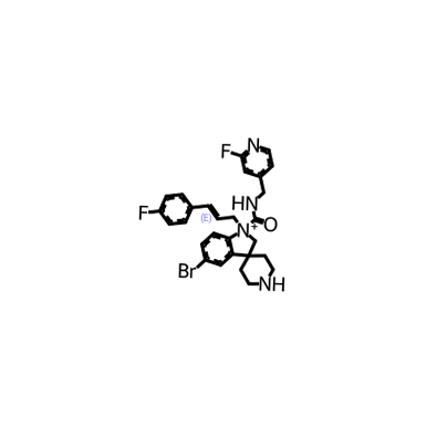 O=C(NCc1ccnc(F)c1)[N+]1(C/C=C/c2ccc(F)cc2)CC2(CCNCC2)c2cc(Br)ccc21